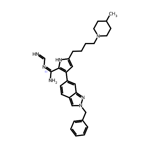 CC1CCN(CCCCc2cc(-c3ccc4cn(Cc5ccccc5)nc4c3)c(/C(N)=N\C=N)[nH]2)CC1